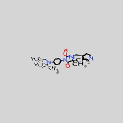 CCN(c1ccc(N2C(=O)N(Cc3ccncc3)C(C)(C)C2=O)cc1)C(C)C